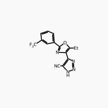 CCc1oc(-c2cccc(C(F)(F)F)c2)nc1-c1nn[nH]c1C#N